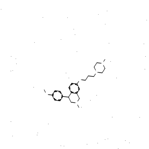 COc1ccc(C2CN(C)Cc3cc(OCCCN4CCN(C)CC4)ccc32)cc1